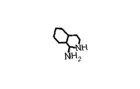 NC1NCCC2CCCCC21